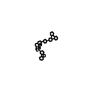 c1ccc2c(c1)oc1ccc(-c3ccc4ccc5ccc(-c6ccc(-c7ccc8c9ccccc9c9ccccc9c8c7)cc6)nc5c4n3)cc12